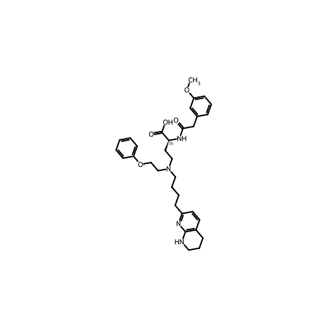 COc1cccc(CC(=O)N[C@@H](CCN(CCCCc2ccc3c(n2)NCCC3)CCOc2ccccc2)C(=O)O)c1